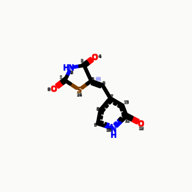 O=C1NC(=O)/C(=C/c2cc[nH]c(=O)c2)S1